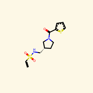 C=CS(=O)(=O)NC[C@H]1CCN(C(=O)c2cccs2)C1